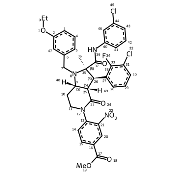 CCOc1cccc(CN2[C@H]3CCN(c4ccc(C(=O)OC)cc4[N+](=O)[O-])C(=O)[C@H]3[C@H](c3cccc(Cl)c3F)[C@]2(C)C(=O)Nc2cccc(Cl)c2)c1